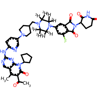 [2H]C1([2H])N(CC2CCN(c3ccc(Nc4ncc5c(C)c(C(C)=O)c(=O)n(C6CCCC6)c5n4)nc3)CC2)C([2H])([2H])C([2H])([2H])N(c2cc(F)c3c(c2)C(=O)N(C2CCC(=O)NC2=O)C3=O)C1([2H])[2H]